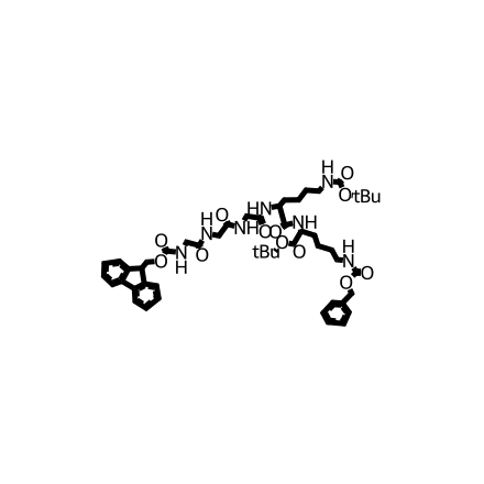 CC(C)(C)OC(=O)NCCCCC(NC(=O)CNC(=O)CNC(=O)CNC(=O)OCC1c2ccccc2-c2ccccc21)C(=O)NC(CCCCNC(=O)OCc1ccccc1)C(=O)OC(C)(C)C